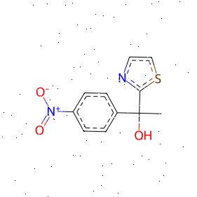 CC(O)(c1ccc([N+](=O)[O-])cc1)c1nccs1